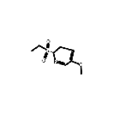 CCS(=O)(=O)[C@@H]1CC=C(OC)C=N1